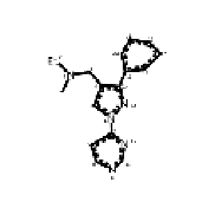 CCN(C)Cc1cn(-c2ccncn2)nc1-c1ccccc1